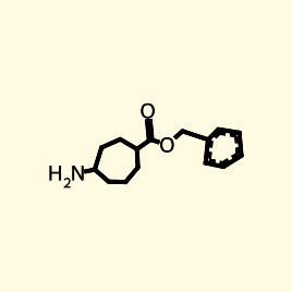 NC1CCCC(C(=O)OCc2ccccc2)CC1